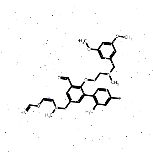 COc1cc(CN(C)CCOc2c(C=O)cc(CN(C)/C=C\OC=N)cc2-c2ccc(F)cc2C)cc(OC)c1